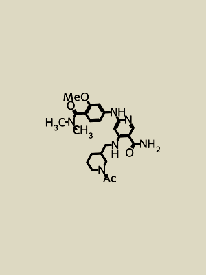 COc1cc(Nc2cc(NCC3CCCN(C(C)=O)C3)c(C(N)=O)cn2)ccc1C(=O)N(C)C